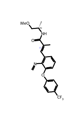 C=Nc1c(/C=C(\C)C(=O)N[C@@H](C)COC)cccc1Oc1ccc(C(F)(F)F)cc1